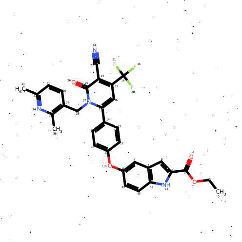 CCOC(=O)c1cc2cc(Oc3ccc(-c4cc(C(F)(F)F)c(C#N)c(=O)n4Cc4ccc(C)nc4C)cc3)ccc2[nH]1